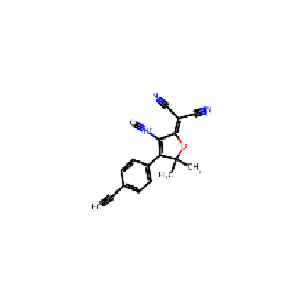 [C-]#[N+]C1=C(c2ccc(C#C)cc2)C(C)(C)OC1=C(C#N)C#N